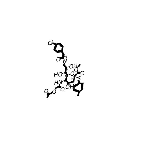 COC(=O)[C@]1(Sc2ccc(C)cc2)C[C@H](O)[C@@H](NC(=O)COC(C)=O)[C@H]([C@H](O)[C@H](O)CNC(=O)Cc2ccc(Cl)cc2)O1